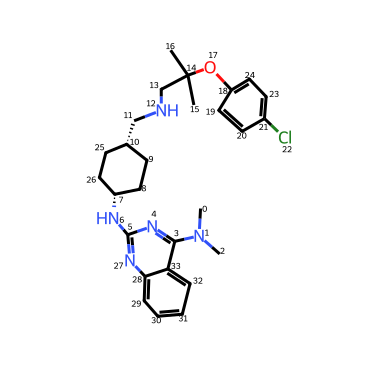 CN(C)c1nc(N[C@H]2CC[C@@H](CNCC(C)(C)Oc3ccc(Cl)cc3)CC2)nc2ccccc12